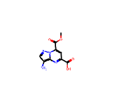 COC(=O)c1cc(C(=O)O)nc2c(N)cnn12